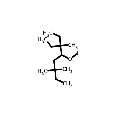 CCC(C)(C)CC(OI)C(C)(CC)CC